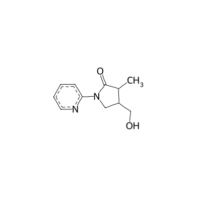 CC1C(=O)N(c2ccccn2)CC1CO